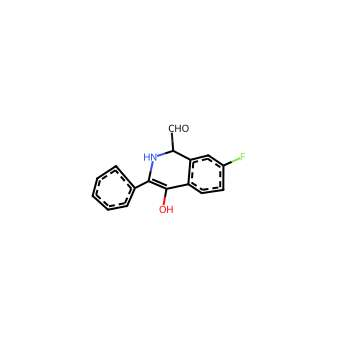 O=CC1NC(c2ccccc2)=C(O)c2ccc(F)cc21